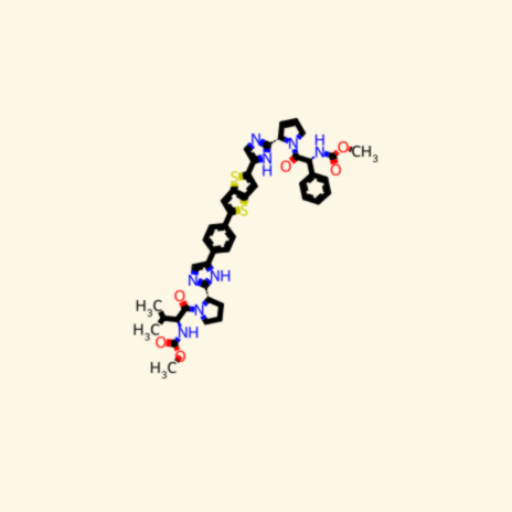 COC(=O)N[C@H](C(=O)N1CCC[C@H]1c1ncc(-c2ccc(-c3cc4sc(-c5cnc([C@@H]6C=CCN6C(=O)[C@H](NC(=O)OC)c6ccccc6)[nH]5)cc4s3)cc2)[nH]1)C(C)C